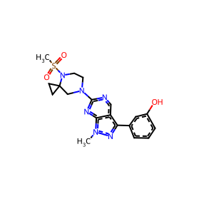 Cn1nc(-c2cccc(O)c2)c2cnc(N3CCN(S(C)(=O)=O)C4(CC4)C3)nc21